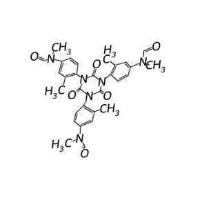 Cc1cc(N(C)C=O)ccc1-n1c(=O)n(-c2ccc(N(C)C=O)cc2C)c(=O)n(-c2ccc(N(C)C=O)cc2C)c1=O